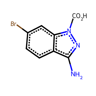 Nc1nn(C(=O)O)c2cc(Br)ccc12